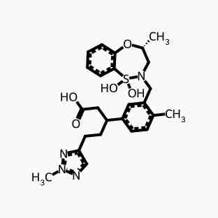 Cc1ccc(C(CCc2cnn(C)n2)CC(=O)O)cc1CN1C[C@@H](C)Oc2ccccc2S1(O)O